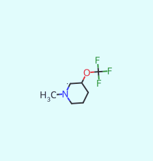 CN1[CH]C(OC(F)(F)F)CCC1